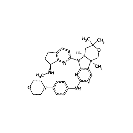 CN[C@H]1CCc2ccc(N3c4nc(Nc5ccc(N6CCOCC6)cc5)ncc4[C@]4(C)COC(C)(C)C[C@H]34)nc21